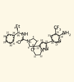 CC[C@@H](NC(=O)N1CCC2(C1)OCCn1nc(-c3cnc(N)c(C(F)(F)F)c3)cc12)c1ccccc1